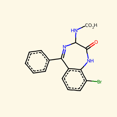 O=C(O)NC1N=C(c2ccccc2)c2cccc(Br)c2NC1=O